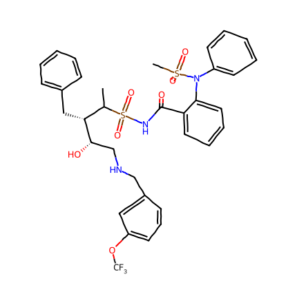 CC([C@@H](Cc1ccccc1)[C@@H](O)CNCc1cccc(OC(F)(F)F)c1)S(=O)(=O)NC(=O)c1ccccc1N(c1ccccc1)S(C)(=O)=O